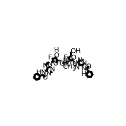 [BH3-][P+](C)(OC[C@H]1O[C@@H](n2cnc3c(NC(=O)c4ccccc4)ncnc32)C(F)[C@H]1O)OC1C(F)C(CO)OC1n1cnc2c(NC(=O)c3ccccc3)ncnc21